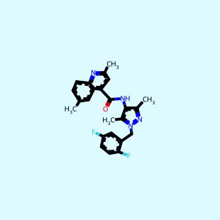 Cc1ccc2nc(C)cc(C(=O)Nc3c(C)nn(Cc4cc(F)ccc4F)c3C)c2c1